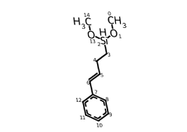 CO[SiH](CCC=Cc1ccccc1)OC